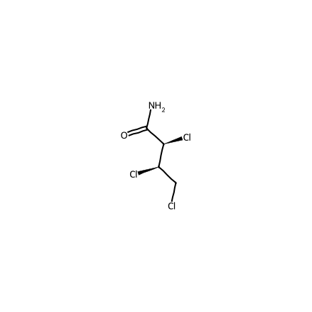 NC(=O)[C@@H](Cl)[C@H](Cl)CCl